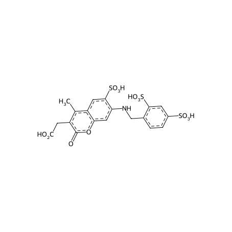 Cc1c(CC(=O)O)c(=O)oc2cc(NCc3ccc(S(=O)(=O)O)cc3S(=O)(=O)O)c(S(=O)(=O)O)cc12